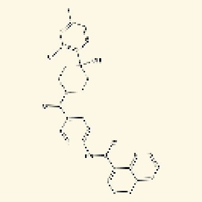 Cc1ccc(C2(O)CCN(C(=O)c3ccc(N[S+]([O-])c4cccc5cccnc45)cc3)CC2)c(Cl)c1